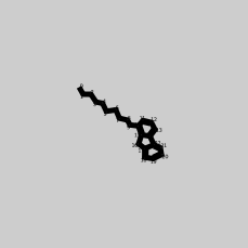 CCCCCCCCCCc1cccc2c1[CH]c1ccccc1-2